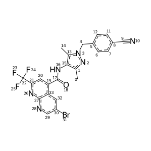 Cc1nn(Cc2ccc(C#N)cc2)c(C)c1NC(=O)c1cc(C(F)(F)F)nc2ncc(Br)cc12